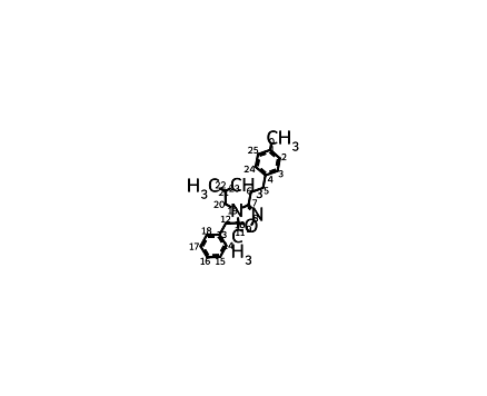 Cc1ccc(CCC2=NOC(C)(Cc3ccccc3)N2CC(C)C)cc1